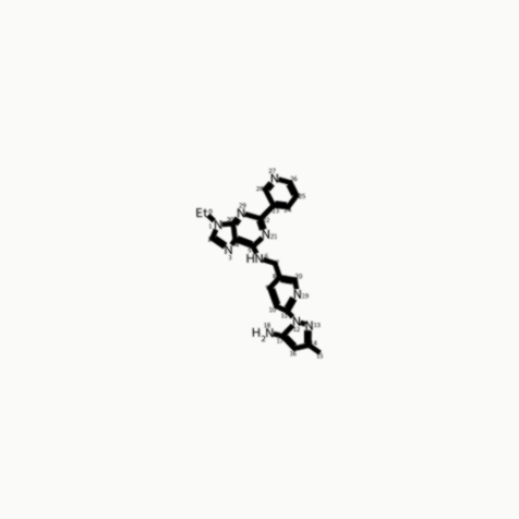 CCn1cnc2c(NCc3ccc(-n4nc(C)cc4N)nc3)nc(-c3cccnc3)nc21